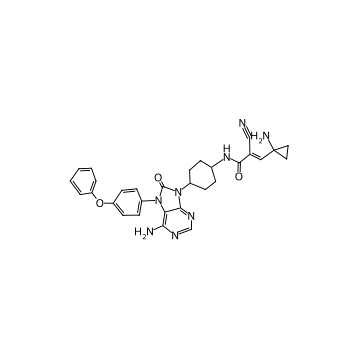 N#CC(=CC1(N)CC1)C(=O)NC1CCC(n2c(=O)n(-c3ccc(Oc4ccccc4)cc3)c3c(N)ncnc32)CC1